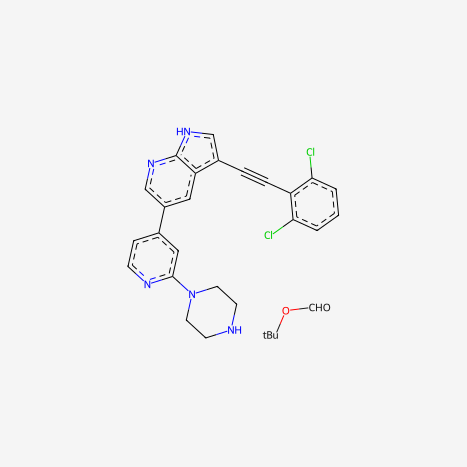 CC(C)(C)OC=O.Clc1cccc(Cl)c1C#Cc1c[nH]c2ncc(-c3ccnc(N4CCNCC4)c3)cc12